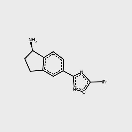 CC(C)c1nc(-c2ccc3c(c2)CC[C@H]3N)no1